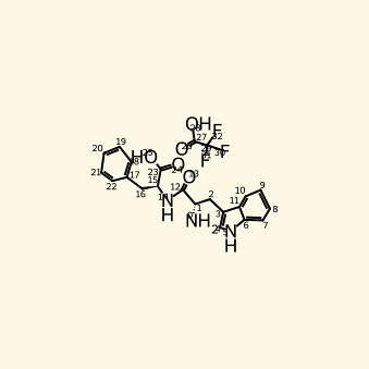 N[C@@H](Cc1c[nH]c2ccccc12)C(=O)N[C@@H](Cc1ccccc1)C(=O)O.O=C(O)C(F)(F)F